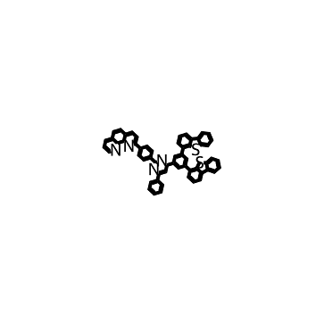 c1ccc(-c2cc(-c3cc(-c4cccc5c4sc4ccccc45)cc(-c4cccc5c4sc4ccccc45)c3)nc(-c3ccc(-c4ccc5ccc6cccnc6c5n4)cc3)n2)cc1